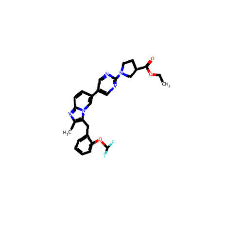 CCOC(=O)C1CCN(c2ncc(-c3ccc4nc(C)c(Cc5ccccc5OC(F)F)n4c3)cn2)C1